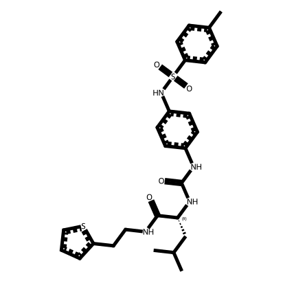 Cc1ccc(S(=O)(=O)Nc2ccc(NC(=O)N[C@H](CC(C)C)C(=O)NCCc3cccs3)cc2)cc1